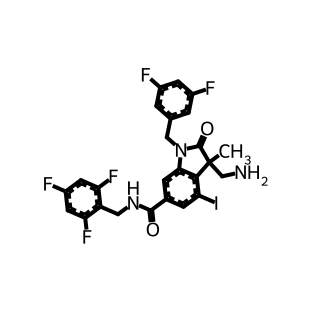 CC1(CN)C(=O)N(Cc2cc(F)cc(F)c2)c2cc(C(=O)NCc3c(F)cc(F)cc3F)cc(I)c21